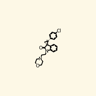 O=C1N(CCN2CCOCC2)c2ccccc2[C@@]12C[C@@H]2c1ccc(Cl)cc1